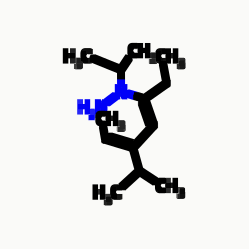 C/C=C(\C=C(\CC)N(N)C(C)C)C(C)C